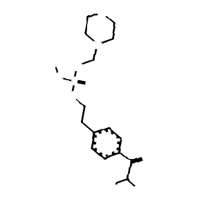 CCOP(=O)(OCCc1ccc(C(=O)C(F)C(F)(F)F)cc1)OCN1CCOCC1